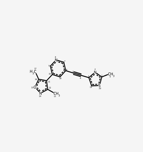 Cc1nc(C#Cc2cncc(-c3c(C)noc3C)c2)cs1